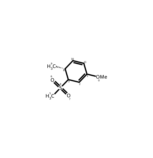 COC1=CC(S(C)(=O)=O)[C@H](C)C=C1